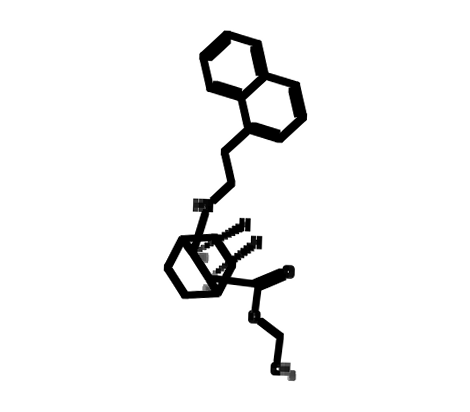 CCOC(=O)[C@H]1C2CCC(CC2)[C@H]1NCCc1cccc2ccccc12